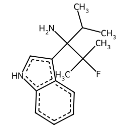 CC(C)C(N)(c1c[nH]c2ccccc12)C(C)(C)F